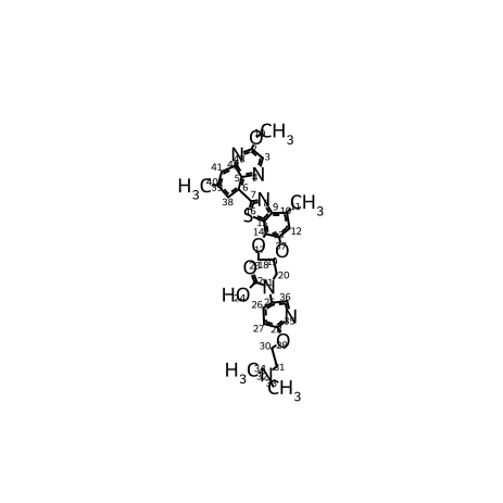 COc1cnc2c(-c3nc4c(C)cc5c(c4s3)OCC(CN(C(=O)O)c3ccc(OCCN(C)C)nc3)O5)cc(C)cc2n1